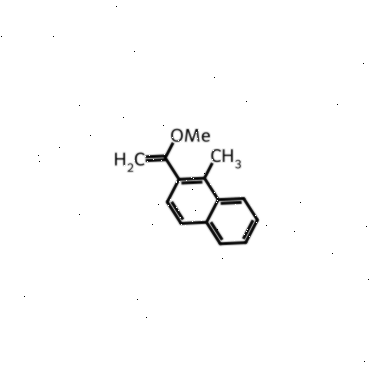 C=C(OC)c1ccc2ccccc2c1C